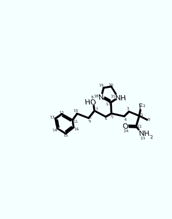 CC(F)(CCC(CC(O)[CH]Cc1ccccc1)C1=NCCN1)C(N)=O